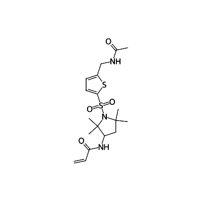 C=CC(=O)NC1CC(C)(C)N(S(=O)(=O)c2ccc(CNC(C)=O)s2)C1(C)C